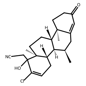 C[C@@H]1CC2=CC(=O)CC[C@]2(C)[C@H]2CC[C@@]3(C)[C@@H](CC=C(Cl)C3(O)CC#N)[C@H]12